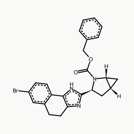 O=C(OCc1ccccc1)N1[C@@H]2C[C@@H]2C[C@H]1c1nc2c([nH]1)-c1ccc(Br)cc1CC2